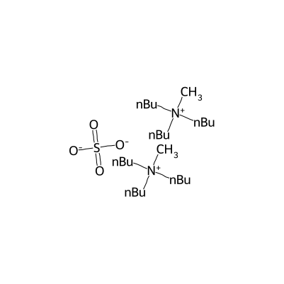 CCCC[N+](C)(CCCC)CCCC.CCCC[N+](C)(CCCC)CCCC.O=S(=O)([O-])[O-]